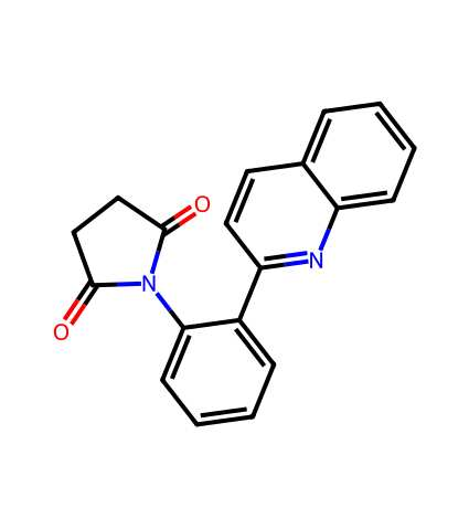 O=C1CCC(=O)N1c1ccccc1-c1ccc2ccccc2n1